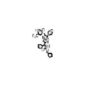 O=C(N[C@H](c1cn2nc(C[C@H]3C[C@@H](C(F)(F)F)CNC3=O)c(N3CCOCC3)nc2n1)C1CCCCC1)OCc1ccccc1